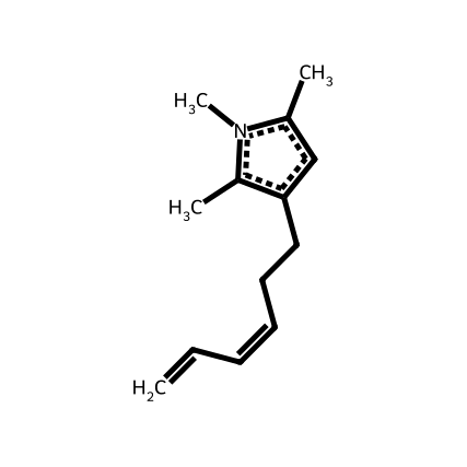 C=C/C=C\CCc1cc(C)n(C)c1C